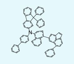 C1=Cc2cc(-c3ccc(N(c4ccc(-c5ccccc5)cc4)c4ccc5c(c4)C(c4ccccc4)(c4ccccc4)c4ccccc4-5)c4ccccc34)cc3c(-c4ccccc4)ccc1c23